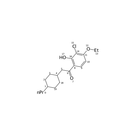 CCCC1CCC(CC(=O)c2ccc(OCC)c(Cl)c2O)CC1